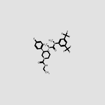 CCNC(=O)N1CC[C@@H](N(C)C(=O)N(C)c2cc(C(F)(F)F)cc(C(F)(F)F)c2)[C@H](c2ccc(F)cc2)C1